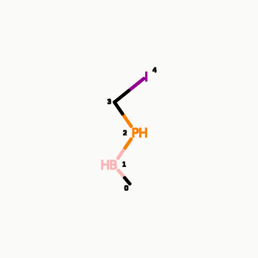 CBPCI